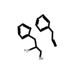 C=CCc1ccccc1.NC(CO)Cc1ccccc1